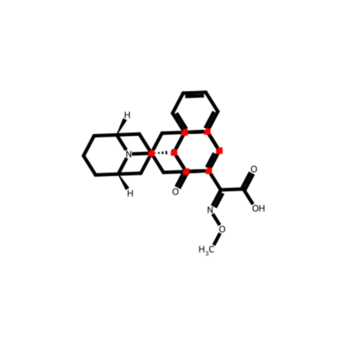 CO/N=C(\C(=O)O)c1nc2ccccc2n([C@H]2C[C@H]3CCC[C@@H](C2)N3C2CC3CCCC(C3)C2)c1=O